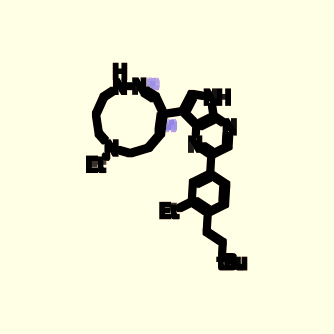 CCc1cc(-c2cnc3[nH]cc(C4=C/CCN(CC)CCCN/N=C\4)c3n2)ccc1CCC(C)(C)C